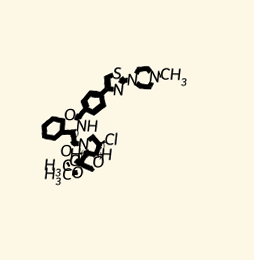 COC1(OC)CO[C@@H]2[C@H](Cl)CN(C(=O)[C@@H](NC(=O)c3ccc(-c4csc(N5CCN(C)CC5)n4)cc3)C3CCCCC3)[C@@H]21